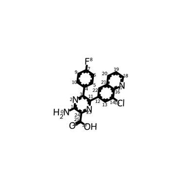 Nc1nc(-c2ccc(F)cc2)c(-c2cc(Cl)c3ncccc3c2)nc1C(=O)O